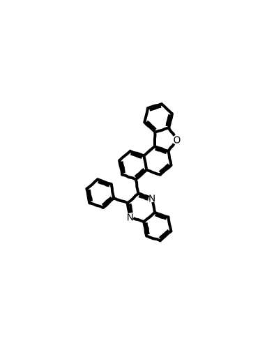 c1ccc(-c2nc3ccccc3nc2-c2cccc3c2ccc2oc4ccccc4c23)cc1